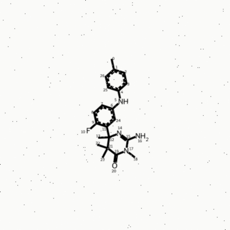 Cc1ccc(Nc2ccc(F)c(C3(C)N=C(N)N(C)C(=O)C3(C)C)c2)cc1